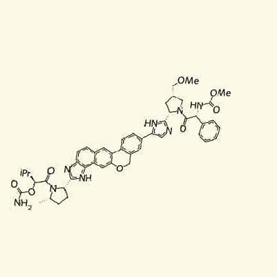 COC[C@H]1C[C@@H](c2ncc(-c3ccc4c(c3)COc3cc5c(ccc6nc([C@@H]7CC[C@H](C)N7C(=O)[C@@H](OC(N)=O)C(C)C)[nH]c65)cc3-4)[nH]2)N(C(=O)[C@H](NC(=O)OC)c2ccccc2)C1